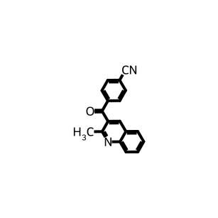 Cc1nc2ccccc2cc1C(=O)c1ccc(C#N)cc1